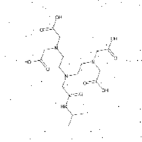 CC(C)NC(=O)CN(CCN(CC(=O)O)CC(=O)O)CCN(CC(=O)O)CC(=O)O